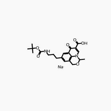 CC1OCc2cc(CCCNC(=O)OC(C)(C)C)cc3c(=O)c(C(=O)O)cn1c23.[Na]